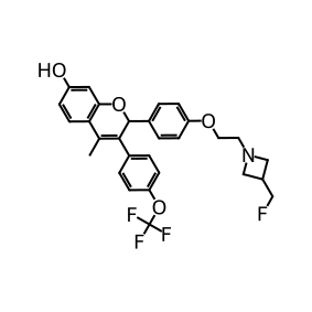 CC1=C(c2ccc(OC(F)(F)F)cc2)C(c2ccc(OCCN3CC(CF)C3)cc2)Oc2cc(O)ccc21